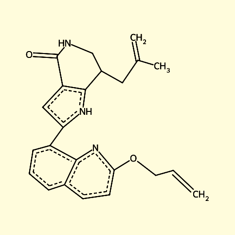 C=CCOc1ccc2cccc(-c3cc4c([nH]3)C(CC(=C)C)CNC4=O)c2n1